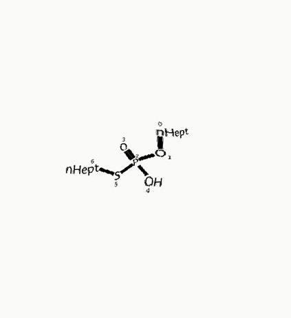 CCCCCCCOP(=O)(O)SCCCCCCC